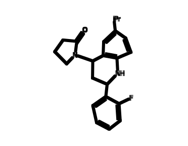 CC(C)c1ccc2c(c1)C(N1CCCC1=O)CC(c1ccccc1F)N2